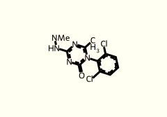 CNNc1nc(C)n(-c2c(Cl)cccc2Cl)c(=O)n1